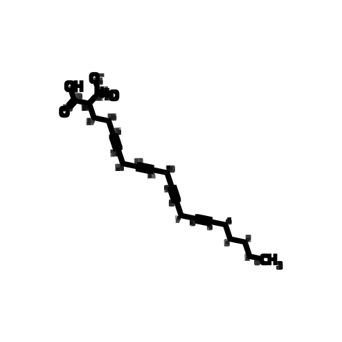 CCCCCC#CCC#CCC#CCC#CCCC(C(=O)O)[N+](=O)[O-]